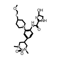 COCCC1CCN(c2cc(C3CN(C)S(=O)(=O)N(C)C3)ccc2NC(=O)C2=NC(O)CN2)CC1